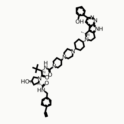 C#Cc1ccc(CNC(=O)[C@@H]2C[C@@H](O)CN2C(=O)[C@@H](NC(=O)N2CCC(N3CCN([C@H]4CC[C@@H](N5CCc6[nH]c7nnc(-c8ccccc8O)cc7c6[C@H]5C)CC4)CC3)CC2)C(C)(C)C)cc1